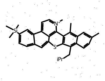 Cc1ccc2c(CC(C)C)c3c(c(C)c2c1)-c1c2c(cc4ccc([Si](C)(C)C)cc4c2cc[n+]1C)S3